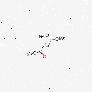 COC(=O)/C=C/C(OC)OC